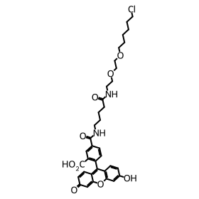 O=C(CCCCNC(=O)c1ccc(-c2c3ccc(=O)cc-3oc3cc(O)ccc23)c(C(=O)O)c1)NCCOCCOCCCCCCCl